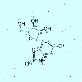 OC[C@H]1O[C@@H](c2cc(Cl)cc3[nH]c(Cl)nc23)[C@H](O)[C@@H]1O